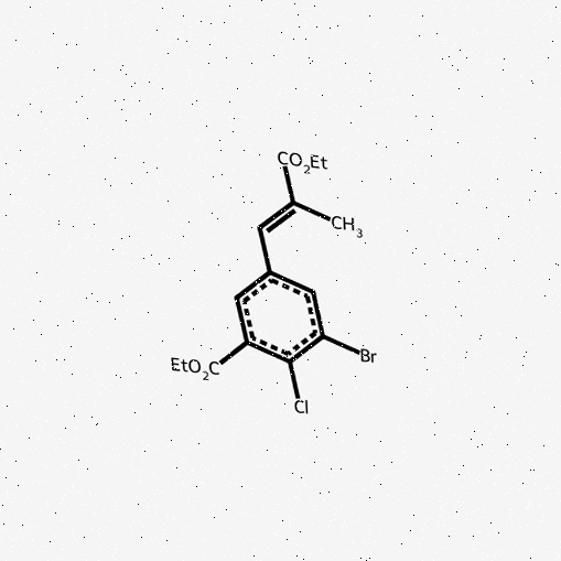 CCOC(=O)C(C)=Cc1cc(Br)c(Cl)c(C(=O)OCC)c1